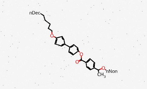 CCCCCCCCCCCCCCCOc1ccc(-c2ccc(OC(=O)c3ccc(C(C)OCCCCCCCCC)cc3)cc2)cc1